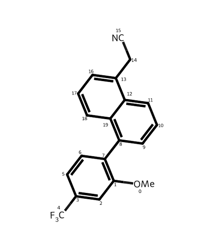 COc1cc(C(F)(F)F)ccc1-c1cccc2c(CC#N)cccc12